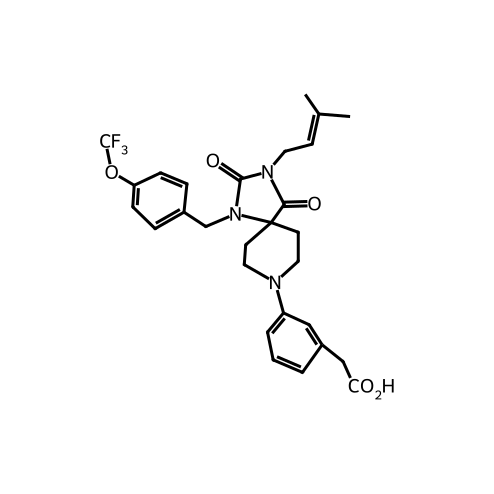 CC(C)=CCN1C(=O)N(Cc2ccc(OC(F)(F)F)cc2)C2(CCN(c3cccc(CC(=O)O)c3)CC2)C1=O